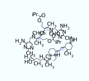 C/C(=C(\CCOC(=O)C(C)C)SS/C(CCOC(=O)C(C)C)=C(/C)N(C=O)Cc1cnc(C)nc1N)N(C=O)Cc1cnc(C)nc1N.C=C1CC[C@H](O)C/C1=C/C=C1\CCC[C@]2(C)[C@@H]([C@H](C)CCCC(C)(C)O)CC[C@@H]12